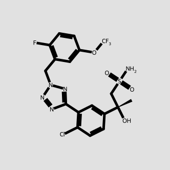 C[C@](O)(CS(N)(=O)=O)c1ccc(Cl)c(-c2nnn(Cc3cc(OC(F)(F)F)ccc3F)n2)c1